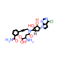 NC(=O)c1cccc(C#CCN(C(=O)C[C@H](N)C(=O)O)C2[C@H]3C[C@@H](n4ccc5c(Cl)ncnc54)[C@H](O)[C@@]23O)c1